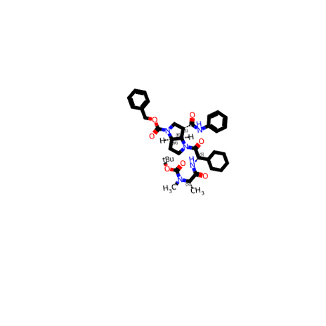 C[C@@H](C(=O)N[C@H](C(=O)N1CC[C@@H]2[C@H]1[C@@H](C(=O)Nc1ccccc1)CN2C(=O)OCc1ccccc1)C1CCCCC1)N(C)C(=O)OC(C)(C)C